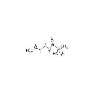 COCCOC(=O)[C@H](C)NCl